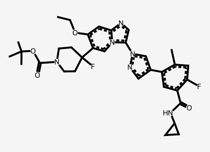 CCOc1cc2ncc(-n3cc(-c4cc(C(=O)NC5CC5)c(F)cc4C)cn3)n2cc1C1(F)CCN(C(=O)OC(C)(C)C)CC1